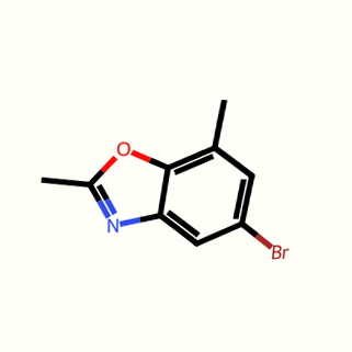 Cc1nc2cc(Br)cc(C)c2o1